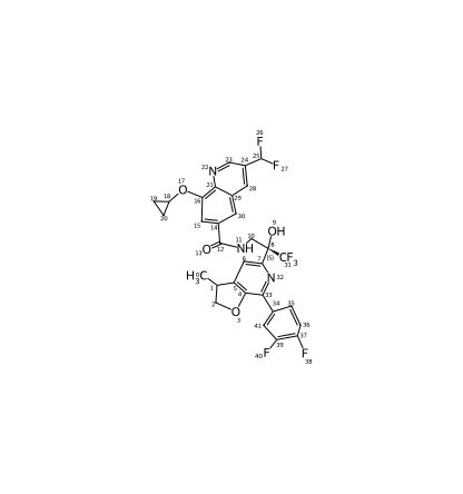 CC1COc2c1cc([C@@](O)(CNC(=O)c1cc(OC3CC3)c3ncc(C(F)F)cc3c1)C(F)(F)F)nc2-c1ccc(F)c(F)c1